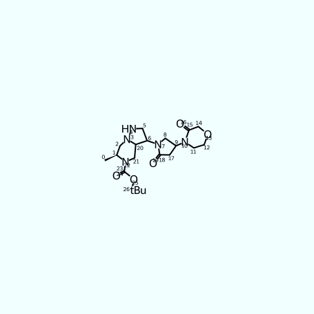 C[C@H]1CN2NCC(N3CC(N4CCOCC4=O)CC3=O)C2CN1C(=O)OC(C)(C)C